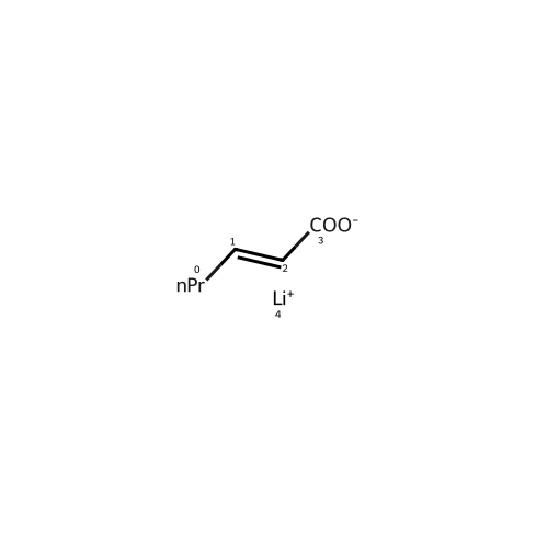 CCCC=CC(=O)[O-].[Li+]